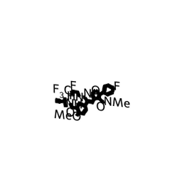 C#CC(C)(C)NC(=O)c1cc(-c2cc3c(C(=O)NC)c(-c4ccc(F)cc4)oc3nc2NCC(F)(F)C(F)(F)F)ccc1OC